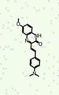 COc1ccc2[nH]c(=O)c(/C=C/c3ccc(N(C)C)cc3)nc2c1